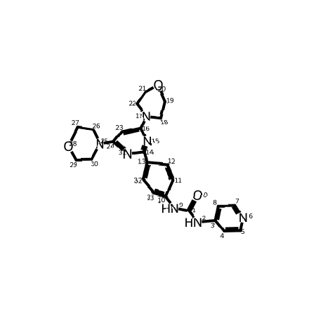 O=C(Nc1ccncc1)Nc1ccc(-c2nc(N3CCOCC3)cc(N3CCOCC3)n2)cc1